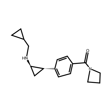 O=C(c1ccc([C@@H]2C[C@H]2NCC2CC2)cc1)N1CCC1